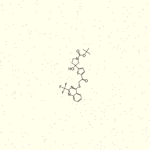 CC(C)(C)OC(=O)N1CCC(O)(c2ccc(C(=O)CSc3nc(C(F)(F)F)nc4ccccc34)s2)C1